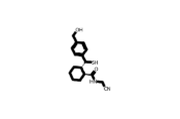 N#CCNC(=O)[C@H]1CCCC[C@@H]1C(S)c1ccc(CO)cc1